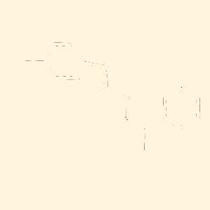 CCC(C(=O)Nc1nc2ccc(C)cc2s1)c1ccccc1